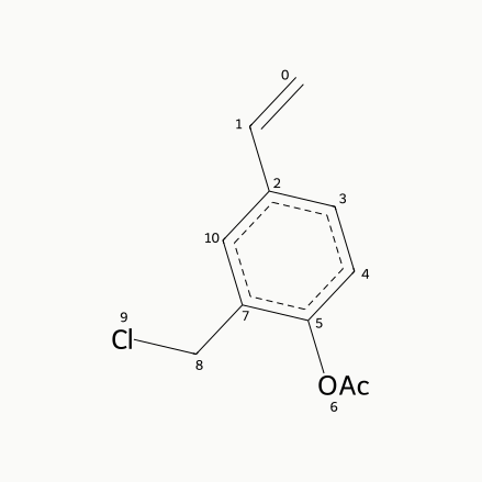 C=Cc1ccc(OC(C)=O)c(CCl)c1